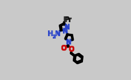 CC(C)c1cc(N)n(C2CCN(C(=O)OCc3ccccc3)C2)n1